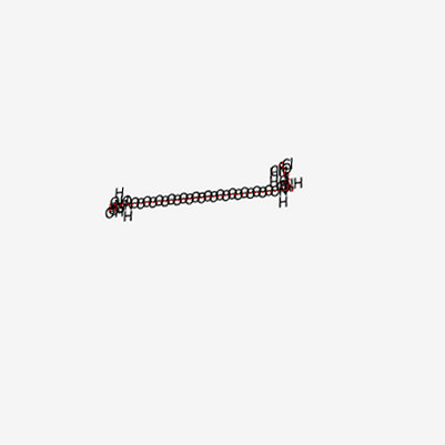 C[C@H]1[C@@H](O)[C@@H](NC(=O)CCC(=O)NCCOCCOCCOCCOCCOCCOCCOCCOCCOCCOCCOCCOCCOCCOCCOCCOCCOCCOCCOCCOCCOCCOCCOCCOCCC(=O)NCCC2(C(=O)N[C@@H](Cc3ccc(NC(=O)c4c(Cl)cccc4Cl)cc3)C(=O)O)CCCC2)[C@H](C)O[C@@H]1CO